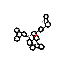 c1ccc(N(c2ccc(-c3ccc(-c4cccc5c4oc4ccccc45)cc3)cc2)c2ccc3c4ccccc4c4ccccc4c3c2)c(-c2ccccc2-n2c3ccccc3c3ccccc32)c1